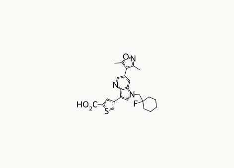 Cc1noc(C)c1-c1cnc2c(-c3csc(C(=O)O)c3)cn(CC3(F)CCCCC3)c2c1